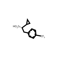 O=C(O)[C@@H](Cc1ccc(C(F)(F)F)cc1)C1CC1